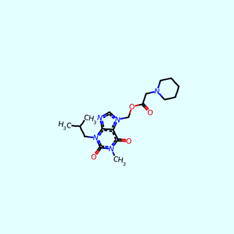 CC(C)Cn1c(=O)n(C)c(=O)c2c1ncn2COC(=O)CN1CCCCC1